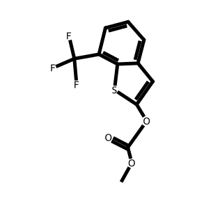 COC(=O)Oc1cc2cccc(C(F)(F)F)c2s1